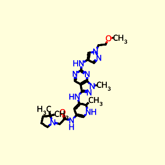 COCCn1cc(Nc2ncc3c(NC4=CC(NC(=O)CN5CCCC5(C)C)=CNC4C)nn(C)c3n2)cn1